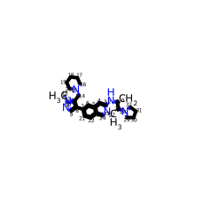 C=C(Nc1cc2cc(-c3cnn(C)c3CN3CCCCC3)ccc2cn1)C(C)N1CCCC1